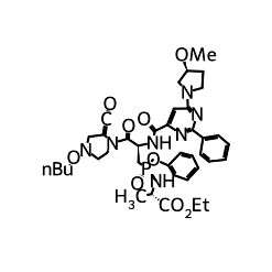 CCCCON1CCN(C(=O)[C@H](CP(=O)(N[C@@H](C)C(=O)OCC)Oc2ccccc2)NC(=O)c2cc(N3CC[C@H](OC)C3)nc(-c3ccccc3)n2)C(=C=O)C1